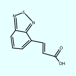 O=C(O)C=Cc1cccc2nsnc12